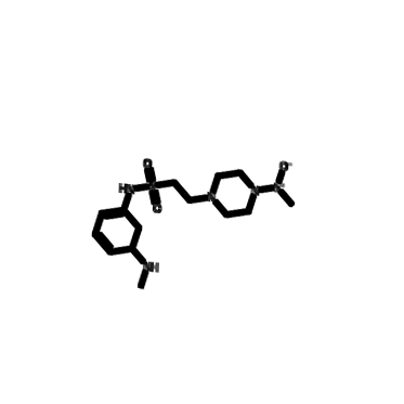 CNC1C=CC=C(NS(=O)(=O)CCN2CCN([S+](C)[O-])CC2)C1